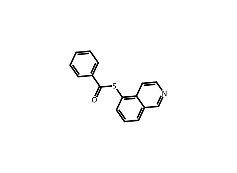 O=C(Sc1cccc2cnccc12)c1ccccc1